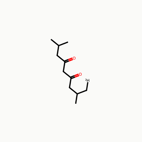 [2H]CC(C)CC(=O)CC(=O)CC(C)C